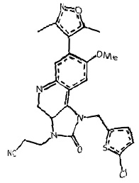 COc1cc2c(cc1-c1c(C)noc1C)=NCC1C=2N(Cc2ccc(Cl)s2)C(=O)N1CCC#N